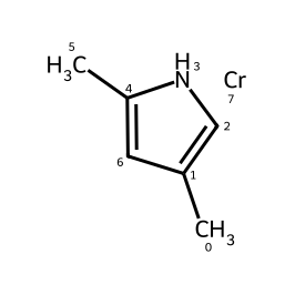 Cc1c[nH]c(C)c1.[Cr]